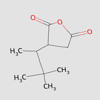 CC(C1CC(=O)OC1=O)C(C)(C)C